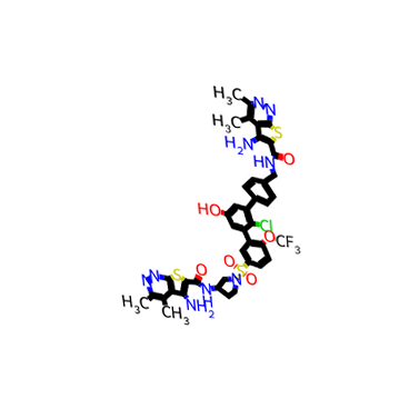 Cc1nnc2sc(C(=O)NCc3ccc(-c4cc(O)cc(-c5cc(S(=O)(=O)N6CCC(NC(=O)c7sc8nnc(C)c(C)c8c7N)C6)ccc5OC(F)(F)F)c4Cl)cc3)c(N)c2c1C